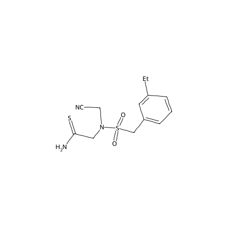 CCc1cccc(CS(=O)(=O)N(CC#N)CC(N)=S)c1